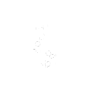 CN(C)C/C=C/C(=O)Nc1ccc(C(=O)NCC2CCC(Nc3ncc(Cl)c(-c4c[nH]c5ccccc45)n3)CC2)cc1